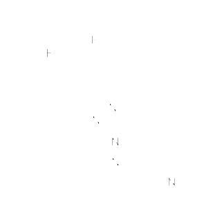 CCn1c(Cn2ccnc2-c2cccc(C#N)c2)nc2cc(-c3cc(F)cc(F)c3)ccc21